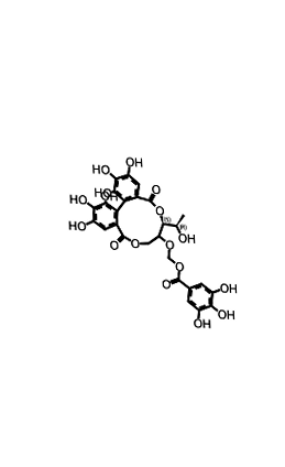 C[C@@H](O)[C@@H]1OC(=O)c2cc(O)c(O)c(O)c2-c2c(cc(O)c(O)c2O)C(=O)OCC1OCOC(=O)c1cc(O)c(O)c(O)c1